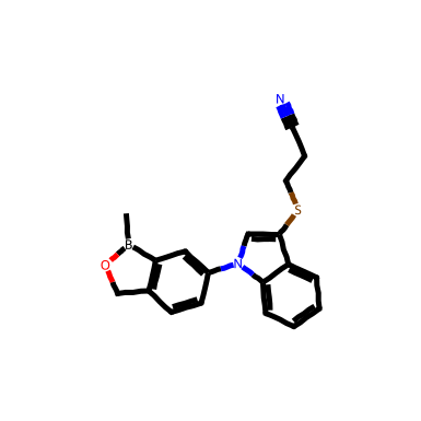 CB1OCc2ccc(-n3cc(SCCC#N)c4ccccc43)cc21